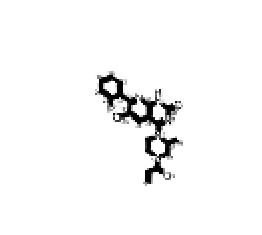 C=CC(=O)N1CCN(c2nc(=O)[nH]c3nc(-c4ccccc4F)c(Cl)cc23)C(C)C1